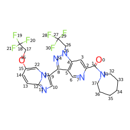 O=C(c1cc2c(cn1)c(-c1cnc3ccc(OCC(F)(F)F)cn13)nn2CC(F)(F)F)N1CCCCCC1